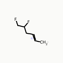 [CH2]/C=C/CC(F)CF